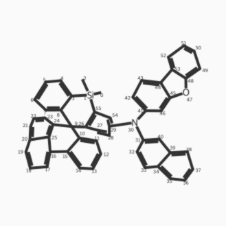 C[Si]1(C)c2ccccc2C2(c3ccccc3-c3cccc4cccc2c34)c2ccc(N(c3ccc4ccccc4c3)c3ccc4c(c3)oc3ccccc34)cc21